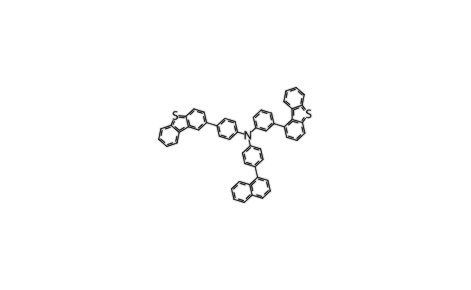 c1cc(-c2cccc3sc4ccccc4c23)cc(N(c2ccc(-c3ccc4sc5ccccc5c4c3)cc2)c2ccc(-c3cccc4ccccc34)cc2)c1